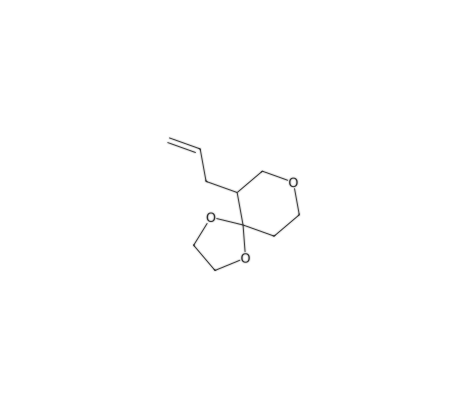 C=CCC1COCCC12OCCO2